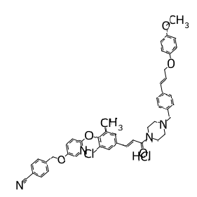 COc1ccc(OC/C=C/c2ccc(CN3CCN(C(=O)/C=C/c4cc(C)c(Oc5ccc(OCc6ccc(C#N)cc6)cn5)c(Cl)c4)CC3)cc2)cc1.Cl